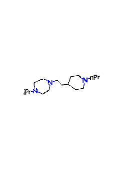 CCCN1CCC(CCN2CCN(C(C)C)CC2)CC1